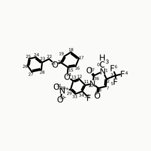 Cn1c(C(F)(F)F)cc(=O)n(-c2cc(Oc3ccccc3OCc3ccccc3)c([N+](=O)[O-])cc2F)c1=O